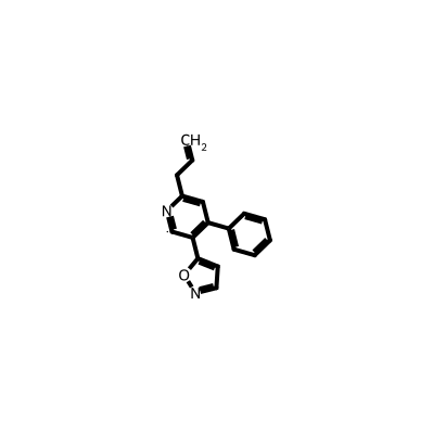 C=CCc1cc(-c2ccccc2)c(-c2ccno2)[c]n1